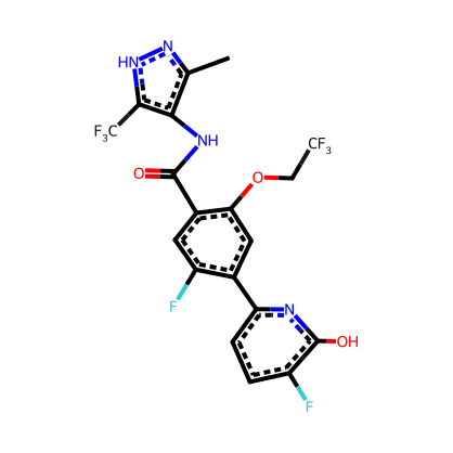 Cc1n[nH]c(C(F)(F)F)c1NC(=O)c1cc(F)c(-c2ccc(F)c(O)n2)cc1OCC(F)(F)F